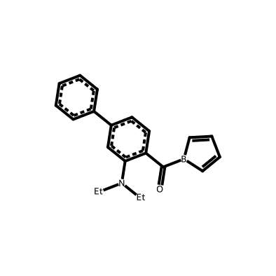 CCN(CC)c1cc(-c2ccccc2)ccc1C(=O)B1C=CC=C1